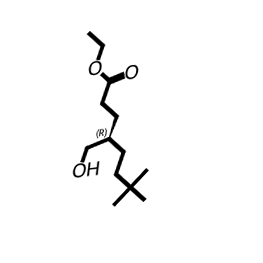 CCOC(=O)CC[C@H](CO)CCC(C)(C)C